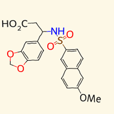 COc1ccc2cc(S(=O)(=O)NC(CC(=O)O)c3ccc4c(c3)OCO4)ccc2c1